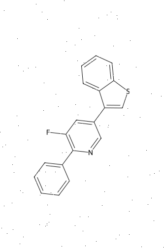 Fc1cc(-c2csc3ccccc23)cnc1-c1ccccc1